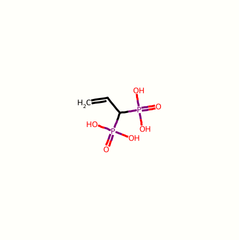 C=CC(P(=O)(O)O)P(=O)(O)O